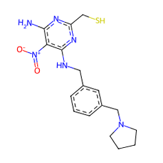 Nc1nc(CS)nc(NCc2cccc(CN3CCCC3)c2)c1[N+](=O)[O-]